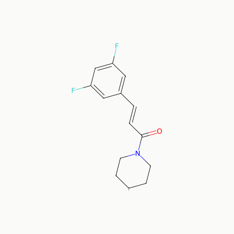 O=C(/C=C/c1cc(F)cc(F)c1)N1CC[CH]CC1